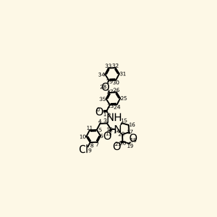 O=C(NC(Cc1ccc(Cl)cc1)C(=O)N1CCC2OCC(=O)C21)c1cccc(Oc2ccccc2)c1